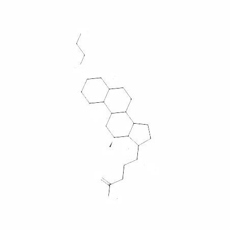 COC(=O)CC[C@@H](C)C1CCC2C3CC[C@@H]4C[C@@H](NCCO)CC[C@]4(C)C3C[C@H](O)[C@@]21C